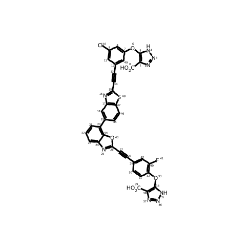 O=C(O)c1nn[nH]c1Oc1cc(Cl)cc(C#Cc2nc3cc(-c4cccc5nc(C#Cc6ccc(Oc7[nH]nnc7C(=O)O)c(F)c6)oc45)ccc3s2)c1